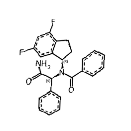 NC(=O)[C@H](c1ccccc1)N(C(=O)c1ccccc1)[C@@H]1CCc2c(F)cc(F)cc21